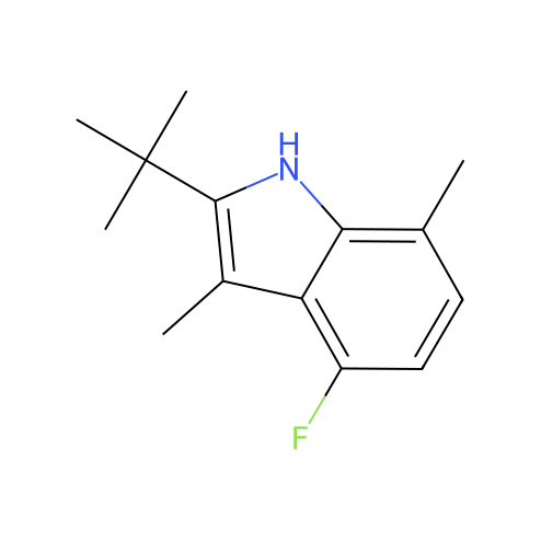 Cc1ccc(F)c2c(C)c(C(C)(C)C)[nH]c12